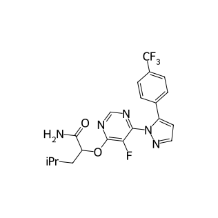 CC(C)CC(Oc1ncnc(-n2nccc2-c2ccc(C(F)(F)F)cc2)c1F)C(N)=O